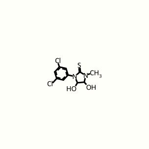 CN1C(=S)N(c2cc(Cl)cc(Cl)c2)C(O)C1O